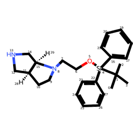 CC(C)(C)[Si](OCCN1CC[C@H]2CNC[C@H]21)(c1ccccc1)c1ccccc1